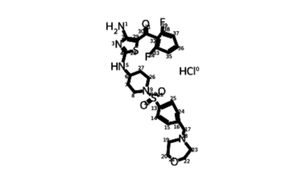 Cl.Nc1nc(NC2CCN(S(=O)(=O)c3ccc(CN4CCOCC4)cc3)CC2)sc1C(=O)c1c(F)cccc1F